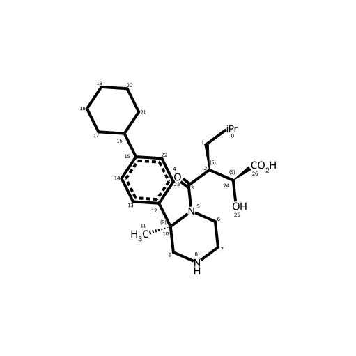 CC(C)C[C@H](C(=O)N1CCNC[C@@]1(C)c1ccc(C2CCCCC2)cc1)[C@H](O)C(=O)O